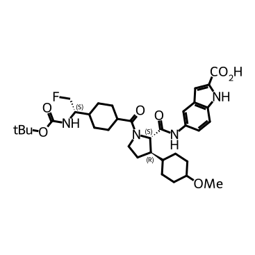 COC1CCC([C@H]2CCN(C(=O)C3CCC([C@@H](CF)NC(=O)OC(C)(C)C)CC3)[C@@H]2C(=O)Nc2ccc3[nH]c(C(=O)O)cc3c2)CC1